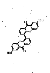 CC(C)(C)c1ccc2oc3c(-c4cccc5c(=O)c6cc(C(C)(C)C)ccc6oc45)cccc3c(=O)c2c1